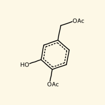 CC(=O)OCc1ccc(OC(C)=O)c(O)c1